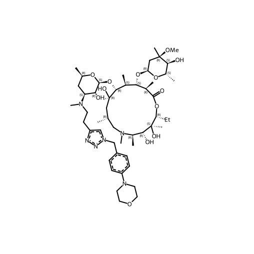 CC[C@H]1OC(=O)[C@H](C)[C@@H](O[C@H]2C[C@@](C)(OC)[C@@H](O)[C@H](C)O2)[C@H](C)[C@@H](O[C@@H]2O[C@H](C)C[C@H](N(C)CCc3cn(Cc4ccc(N5CCOCC5)cc4)nn3)[C@H]2O)[C@](C)(O)C[C@@H](C)CN(C)[C@H](C)[C@@H](O)[C@]1(C)O